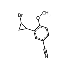 COc1ccc(C#N)cc1C1CC1Br